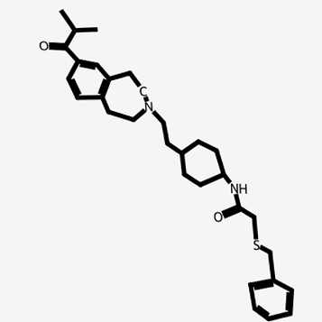 CC(C)C(=O)c1ccc2c(c1)CCN(CCC1CCC(NC(=O)CSCc3ccccc3)CC1)CC2